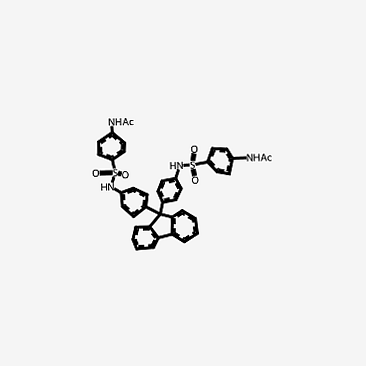 CC(=O)Nc1ccc(S(=O)(=O)Nc2ccc(C3(c4ccc(NS(=O)(=O)c5ccc(NC(C)=O)cc5)cc4)c4ccccc4-c4ccccc43)cc2)cc1